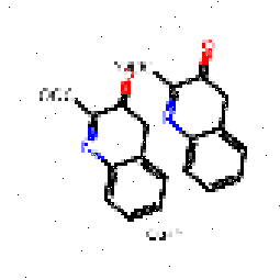 O=C([O-])C1=Nc2ccccc2CC1=O.O=C([O-])C1=Nc2ccccc2CC1=O.[Cu+2]